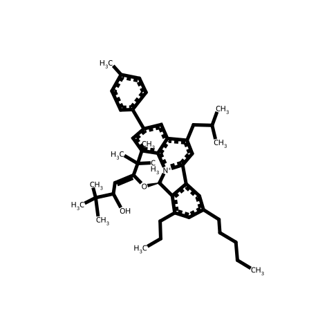 CCCCCc1cc(CCC)c2c(c1)-c1cc(CC(C)C)c3cc(-c4ccc(C)cc4)ccc3[n+]1[C@@H]2O/C(=C\C(O)C(C)(C)C)C(C)(C)C